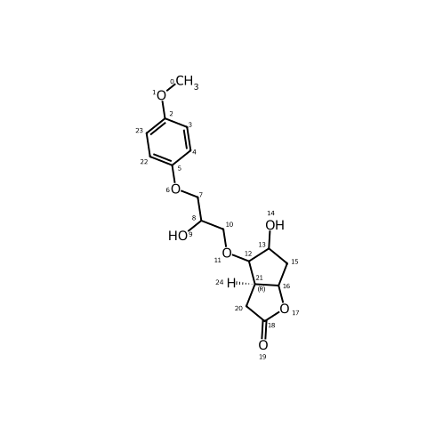 COc1ccc(OCC(O)COC2C(O)CC3OC(=O)C[C@H]32)cc1